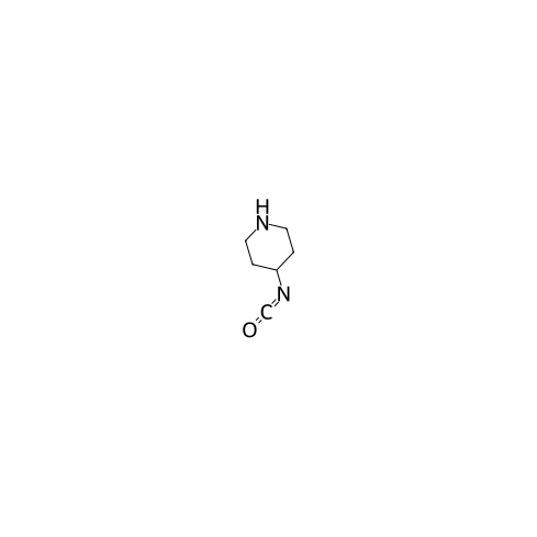 O=C=NC1CCNCC1